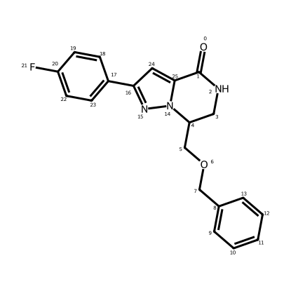 O=C1NCC(COCc2ccccc2)n2nc(-c3ccc(F)cc3)cc21